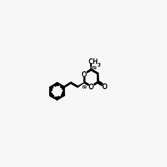 C[C@H]1CC(=O)O[C@@H](CCc2ccccc2)O1